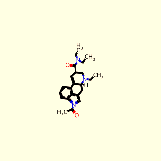 CCN(CC)C(=O)[C@@H]1C=C2c3cccc4c3c(cn4C(C)=O)C[C@H]2N(CC)C1